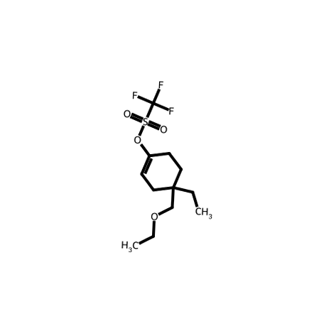 CCOCC1(CC)CC=C(OS(=O)(=O)C(F)(F)F)CC1